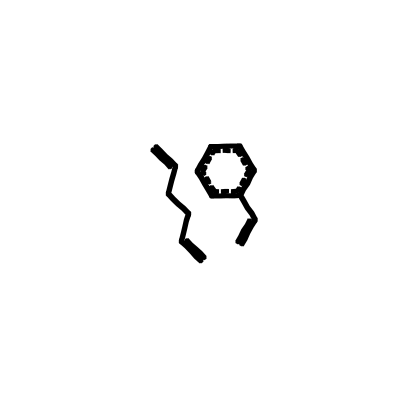 C=CCCC=C.C=Cc1ccccc1